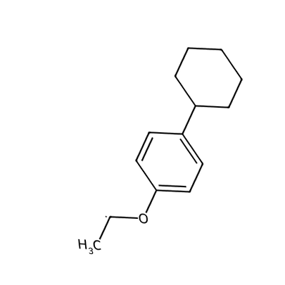 C[CH]Oc1ccc(C2CCCCC2)cc1